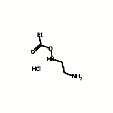 CCC(=O)ONCCN.Cl